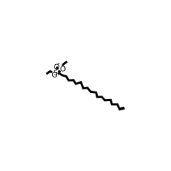 C=CCCCCCCCCCCCCCCCC[Si](OC)(OCC)OCC